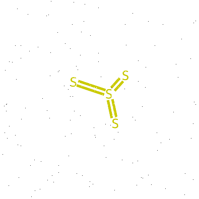 S=S(=S)=S